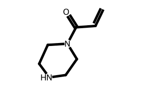 C=CC(=O)N1CCNCC1